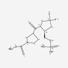 CC(C)(C)OC(=O)N1CCC(C(=O)C2CC(F)(F)C[C@H]2COP(=O)(O)O)C1